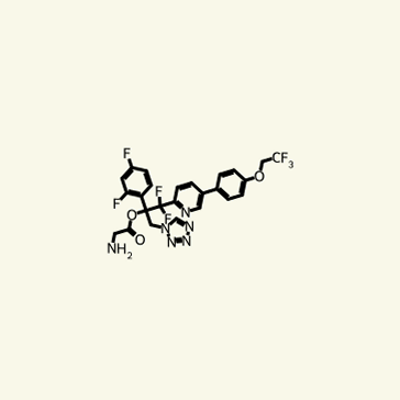 NCC(=O)OC(Cn1cnnn1)(c1ccc(F)cc1F)C(F)(F)c1ccc(-c2ccc(OCC(F)(F)F)cc2)cn1